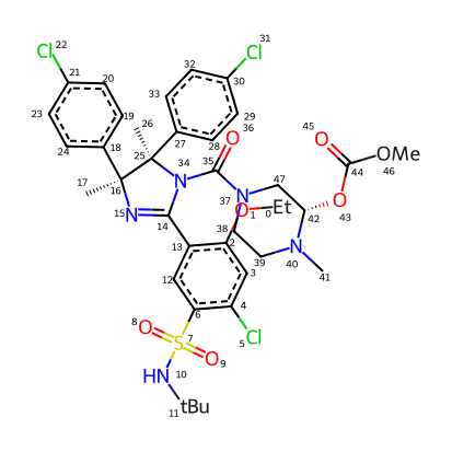 CCOc1cc(Cl)c(S(=O)(=O)NC(C)(C)C)cc1C1=N[C@@](C)(c2ccc(Cl)cc2)[C@@](C)(c2ccc(Cl)cc2)N1C(=O)N1CCN(C)[C@@H](OC(=O)OC)C1